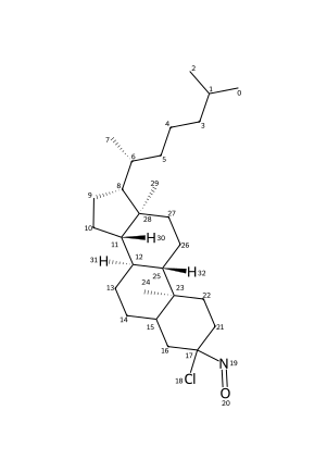 CC(C)CCC[C@@H](C)[C@H]1CC[C@H]2[C@@H]3CCC4CC(Cl)(N=O)CC[C@]4(C)[C@H]3CC[C@]12C